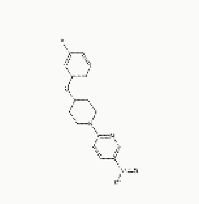 O=[N+]([O-])c1ccc(N2CCC(Oc3cccc(F)c3)CC2)nc1